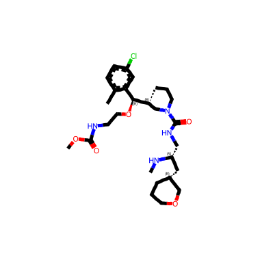 CN[C@H](CNC(=O)N1CCC[C@@H]([C@@H](OCCNC(=O)OC)c2cc(Cl)ccc2C)C1)C[C@H]1CCCOC1